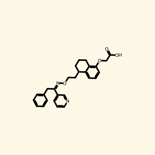 O=C(O)COc1cccc2c1CCCC2CCO/N=C(/Cc1ccccc1)c1cccnc1